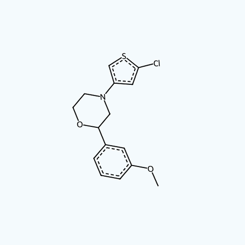 COc1cccc(C2CN(c3csc(Cl)c3)CCO2)c1